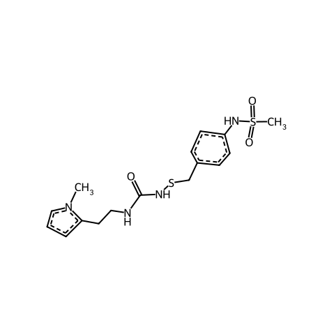 Cn1cccc1CCNC(=O)NSCc1ccc(NS(C)(=O)=O)cc1